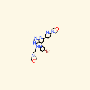 Brc1cccc(-c2cc(-c3ccc(N4CCOCC4)nc3)nc3ncnc(NCCCN4CCOCC4)c23)c1